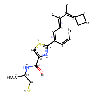 CC\C=C/C(=C\C=C(/C)C(C)=C1CCC1)c1nc(C(=O)NC(CS)C(=O)O)cs1